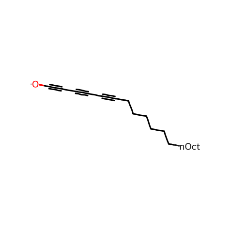 CCCCCCCCCCCCCCC#CC#CC#C[O]